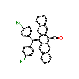 O=C=c1c2cc3ccccc3cc2c(=C(c2ccc(Br)cc2)c2ccc(Br)cc2)c2cc3ccccc3cc12